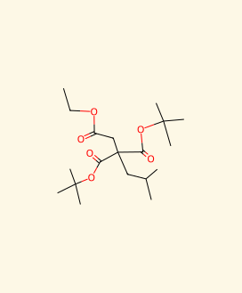 CCOC(=O)CC(CC(C)C)(C(=O)OC(C)(C)C)C(=O)OC(C)(C)C